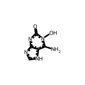 Nc1c2[nH]cnc2nc(=O)n1O